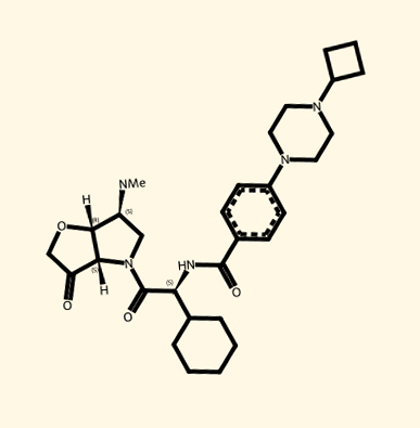 CN[C@H]1CN(C(=O)[C@@H](NC(=O)c2ccc(N3CCN(C4CCC4)CC3)cc2)C2CCCCC2)[C@@H]2C(=O)CO[C@H]12